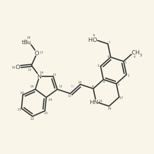 Cc1cc2c(cc1CO)C(/C=C/c1cn(C(=O)OC(C)(C)C)c3ccccc13)NCC2